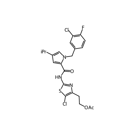 CC(=O)OCCc1nc(NC(=O)c2cc(C(C)C)cn2Cc2ccc(F)c(Cl)c2)sc1Cl